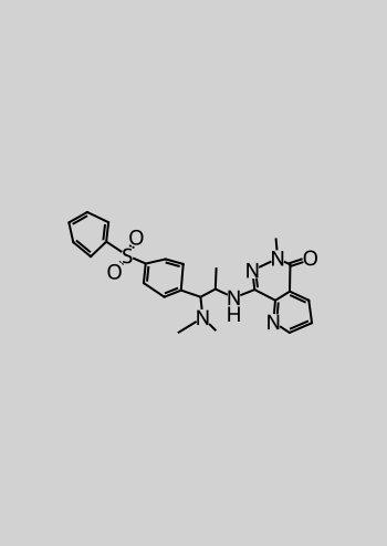 CC(Nc1nn(C)c(=O)c2cccnc12)C(c1ccc(S(=O)(=O)c2ccccc2)cc1)N(C)C